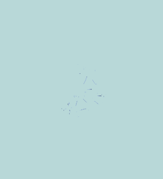 Cc1onc(-c2ccc(OC(F)(F)F)cc2)c1-c1cc(F)c(S(N)(=O)=O)c(F)c1